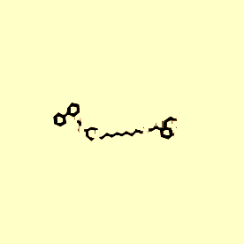 O=C(Nc1ccccc1-c1ccccc1)OC1CCN(CCCCCCCCCNC[C@@H](O)c2ccc(O)c3[nH]c(=O)ccc23)CC1